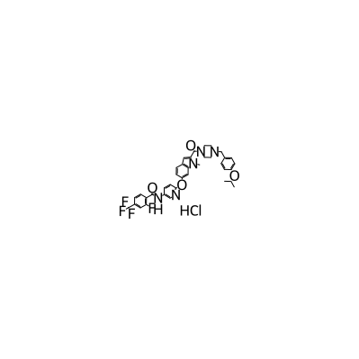 CC(C)Oc1ccc(CN2CCN(C(=O)c3cc4ccc(Oc5ccc(NC(=O)c6ccc(C(F)(F)F)cc6F)cn5)cc4n3C)CC2)cc1.Cl